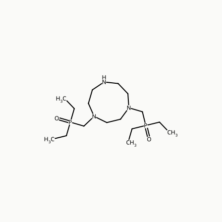 CCP(=O)(CC)CN1CCNCCN(CP(=O)(CC)CC)CC1